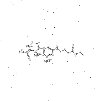 CCOC(=O)CCCOc1ccc2[nH]c3c(c2c1)CCNC3C(=O)O.Cl